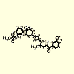 C=C(CNC(=O)c1cccc(C(F)(F)F)c1)NC1CN(C2CCC(O)(c3cccc(NS(C)(=O)=O)c3)CC2)C1